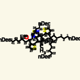 CCCCCCCCCCCCCCCC(C)(CCCCCCCCCCCCCCC)c1ccsc1-c1c(OC)c(C)c(-c2sccc2C(CCCCCCCCCCCCCCC)(CCCCCCCCCCCCCCC)OCC)c2nsnc12